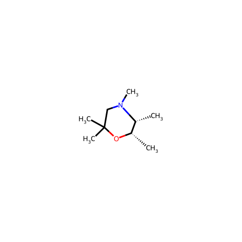 C[C@@H]1OC(C)(C)CN(C)[C@@H]1C